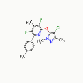 Cc1c(F)c(Oc2c(Cl)c(C(F)(F)F)nn2C)nc(-c2ccc(C(F)(F)F)cc2)c1F